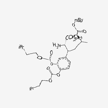 CCCCOC(=O)OC(C)CC(c1ccc(OC(=O)OCCC(C)C)c(OC(=O)OCCC(C)C)c1)[C@H](N)C(=O)O